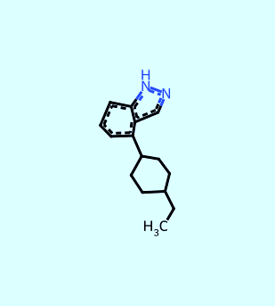 CCC1CCC(c2cccc3[nH]ncc23)CC1